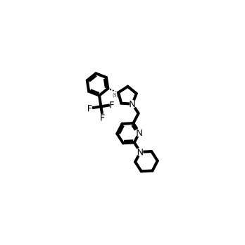 FC(F)(F)c1ccccc1[C@@H]1CCN(Cc2cccc(N3CCCCC3)n2)C1